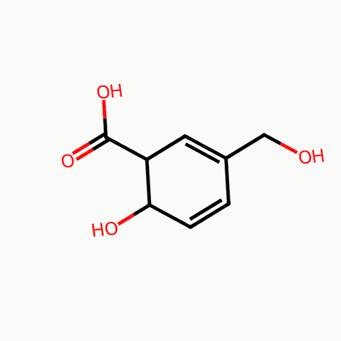 O=C(O)C1C=C(CO)C=CC1O